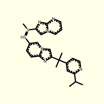 CC(C)c1cc(C(C)(C)c2cn3cc([SH]=S(C)c4cn5cccnc5n4)ccc3n2)ccn1